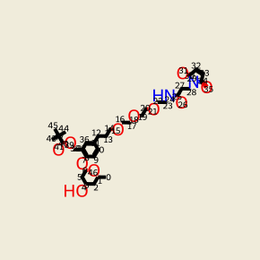 CC1CC(O)CC(Oc2ccc(CCCOCCOCCOCCNC(=O)CCN3C(=O)C=CC3=O)cc2COC(=O)C(C)(C)C)O1